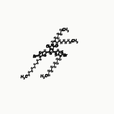 CCCCCCCCCCc1c(Br)sc2cc(-c3sc(-c4cc5sc(Br)c(CCCCCCCCCC)c5s4)c4c3C(=O)N(CC(CCCCCC)CCCCCCCC)C4=O)sc12